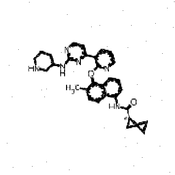 Cc1ccc2c(NC(=O)[C@@H]3CC34CC4)cccc2c1Oc1ncccc1-c1ccnc(NC2CCCNC2)n1